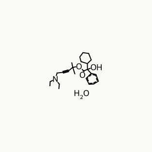 CCN(CC)CC#CC(C)(C)OC(=O)C(O)(c1ccccc1)C1CCCCC1.O